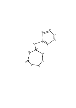 c1ccc(CN2CCCC[N]C2)cc1